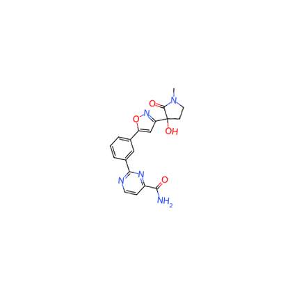 CN1CCC(O)(c2cc(-c3cccc(-c4nccc(C(N)=O)n4)c3)on2)C1=O